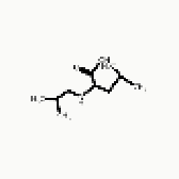 CC(C)CNC(CC(C)C)C(=O)O